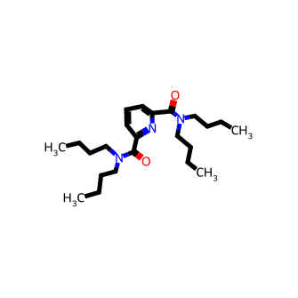 CCCCN(CCCC)C(=O)c1cccc(C(=O)N(CCCC)CCCC)n1